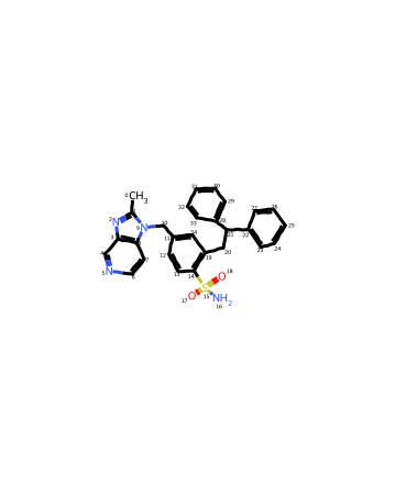 Cc1nc2cnccc2n1Cc1ccc(S(N)(=O)=O)c(CC(c2ccccc2)c2ccccc2)c1